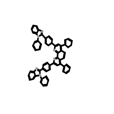 C1=CCCC(c2cc(C3C=CC(c4nc5ccccc5n4-c4ccccc4)=CC3)nc3c2ccc2c(-c4ccccc4)cc(-c4ccc(-c5nc6ccccc6n5-c5ccccc5)cc4)nc23)=C1